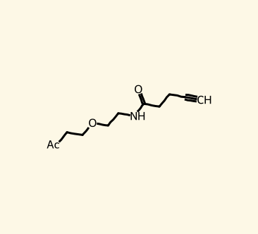 C#CCCC(=O)NCCOCCC(C)=O